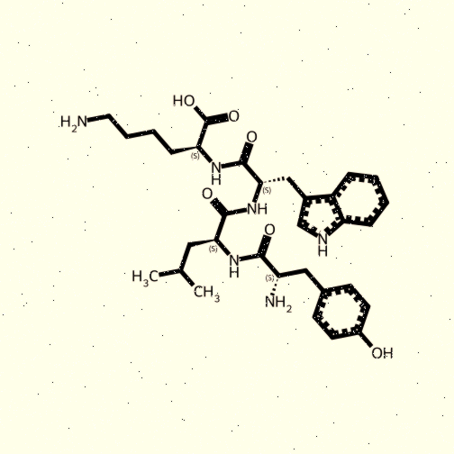 CC(C)C[C@H](NC(=O)[C@@H](N)Cc1ccc(O)cc1)C(=O)N[C@@H](Cc1c[nH]c2ccccc12)C(=O)N[C@@H](CCCCN)C(=O)O